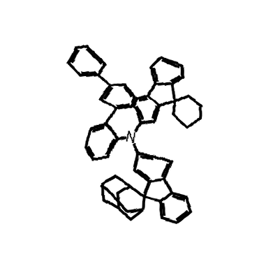 c1ccc(-c2cccc(-c3ccccc3N(c3ccc4c(c3)C3(CCCCC3)c3ccccc3-4)c3ccc4c(c3)C3(c5ccccc5-4)C4CC5CC(C4)CC3C5)c2)cc1